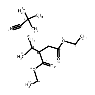 CC(C)(C)C#N.CCOC(=O)CC(C(=O)OCC)C(C)C